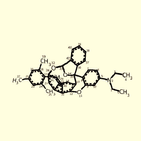 CCN(CC)c1ccc2c(c1)Oc1c3cc(Nc4c(C)cc(C)cc4C)c4cc(ccc14)OC1OC23c2ccccc21